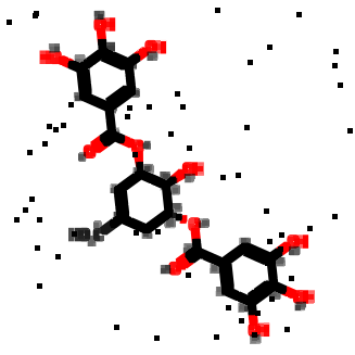 O=C(O)C1=C[C@@H](OC(=O)c2cc(O)c(O)c(O)c2)[C@@H](O)[C@H](OC(=O)c2cc(O)c(O)c(O)c2)C1